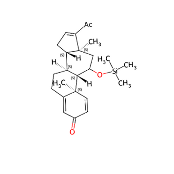 CC(=O)C1=CC[C@H]2[C@@H]3CCC4=CC(=O)C=C[C@]4(C)[C@H]3C(O[Si](C)(C)C)C[C@]12C